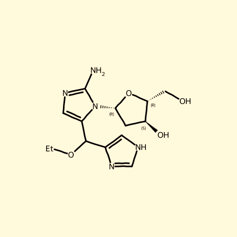 CCOC(c1c[nH]cn1)c1cnc(N)n1[C@H]1C[C@H](O)[C@@H](CO)O1